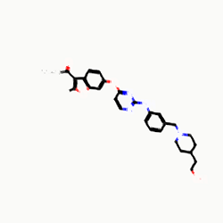 CNC(=O)c1c(C)oc2cc(Oc3ccnc(Nc4cccc(CN5CCC(CCO)CC5)c4)n3)ccc12